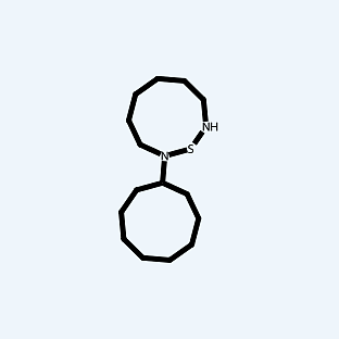 C1CCCCC(N2CCCCCCNS2)CCC1